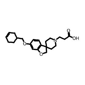 O=C(O)CCN1CCC2(CC1)COc1cc(OCC3CC=CCC3)ccc12